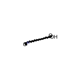 O=C(O)CCCCCCCCCCCCCCCCCC/C=C/C1COC1